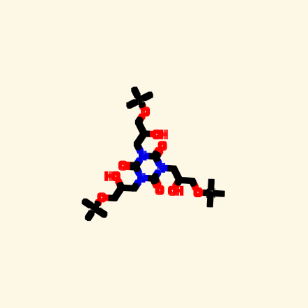 C[Si](C)(C)OCC(O)Cn1c(=O)n(CC(O)CO[Si](C)(C)C)c(=O)n(CC(O)CO[Si](C)(C)C)c1=O